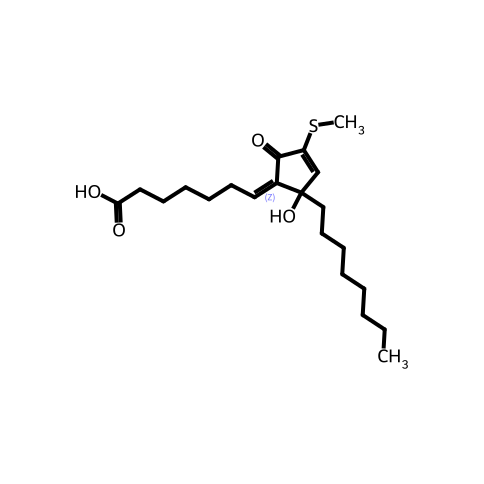 CCCCCCCCC1(O)C=C(SC)C(=O)/C1=C\CCCCCC(=O)O